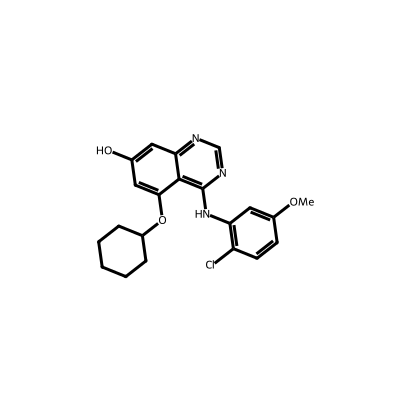 COc1ccc(Cl)c(Nc2ncnc3cc(O)cc(OC4CCCCC4)c23)c1